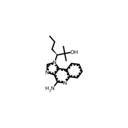 CCC[C@H](n1cnc2c(N)nc3ccccc3c21)C(C)(C)O